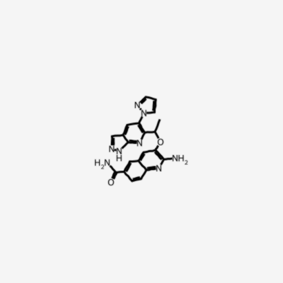 CC(Oc1cc2cc(C(N)=O)ccc2nc1N)c1nc2[nH]ncc2cc1-n1cccn1